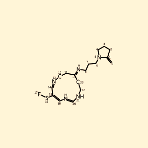 C=C1CCCN1CCC/N=C1/CC\N=C/C(SF)=C\N=C\NCC1